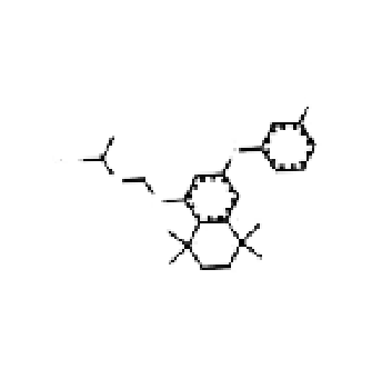 COC(C)OCOc1cc([Se]c2cccc(C(=O)O)c2)cc2c1C(C)(C)CCC2(C)C